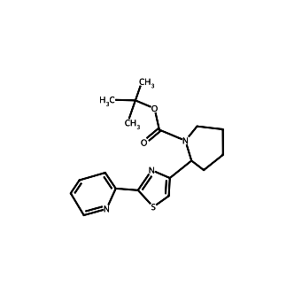 CC(C)(C)OC(=O)N1CCCCC1c1csc(-c2ccccn2)n1